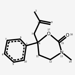 C=C(C)CC1(c2ccccc2)CCN(C)C(=O)O1